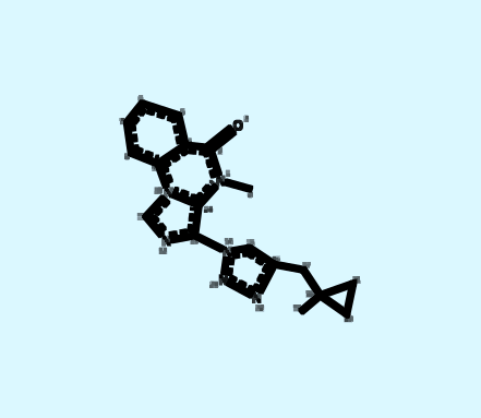 Cn1c(=O)c2ccccc2n2cnc(-n3cc(CC4(C)CC4)nn3)c12